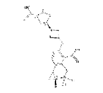 [NH3+]C(=O)[C@H]1C[C@H](N2CC(Oc3ccc4c(c3C(=O)O)O[B-](O)(O)[C@@H]3CC43)C2)CN1